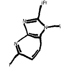 CC(C)c1nc2nc(I)ccc2n1I